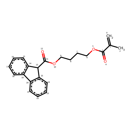 C=C(C)C(=O)OCCCCOC(=O)C1c2ccccc2-c2ccccc21